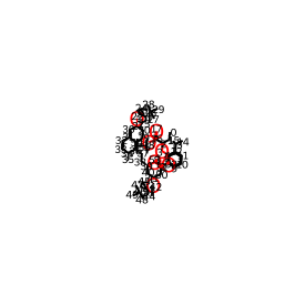 CCC(Oc1c(C(C)C)cccc1C(C)C)C(=O)O[C@H]1C[C@H](O[Si](C)(C)C(C)(C)C)C=C2C=C[C@H](C)[C@H](CC[C@@H]3C[C@@H](O[Si](C)(C)C(C)(C)C)CC(=O)O3)[C@H]21